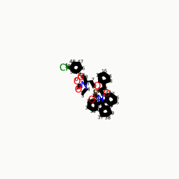 O=C1OCCN1[C@H](CCOC1(Cc2ccccc2)SC(=O)N(C(c2ccccc2)(c2ccccc2)c2ccccc2)C1=O)COc1cccc(Cl)c1